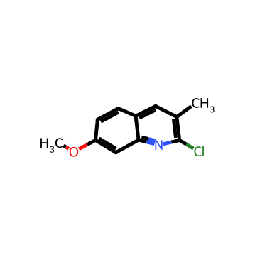 COc1ccc2cc(C)c(Cl)nc2c1